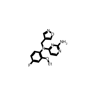 CCOc1cc(F)ccc1N(Cc1cnoc1)c1ccnc(N)n1